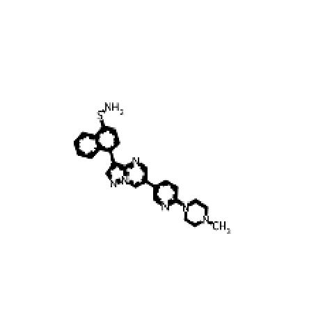 CN1CCN(c2ccc(-c3cnc4c(-c5ccc(SN)c6ccccc56)cnn4c3)cn2)CC1